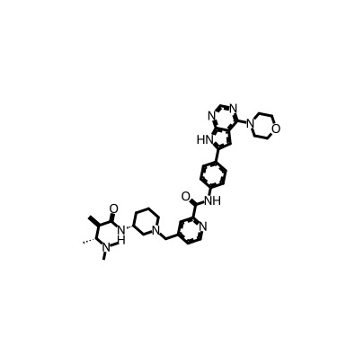 C=C(C(=O)N[C@@H]1CCCN(Cc2ccnc(C(=O)Nc3ccc(-c4cc5c(N6CCOCC6)ncnc5[nH]4)cc3)c2)C1)[C@@H](C)N(C)C